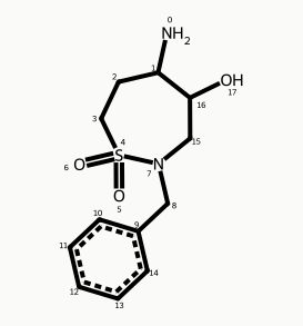 NC1CCS(=O)(=O)N(Cc2ccccc2)CC1O